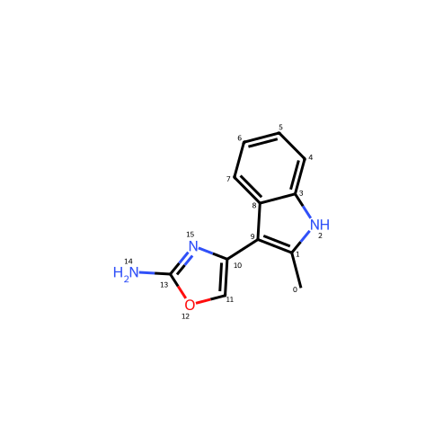 Cc1[nH]c2ccccc2c1-c1coc(N)n1